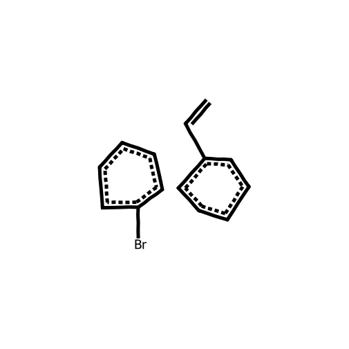 Brc1ccccc1.C=Cc1ccccc1